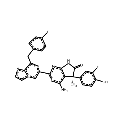 C[C@@]1(c2ccc(O)c(F)c2)C(=O)Nc2nc(-c3cn4ccnc4c(Cc4ccc(F)cc4)n3)nc(N)c21